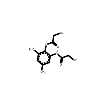 Cc1cc(C)c(OC(=O)CC(C)C)c(NC(=O)CC(C)C)c1